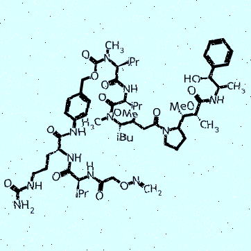 C=NOCC(=O)N[C@H](C(=O)N[C@@H](CCCNC(N)=O)C(=O)Nc1ccc(COC(=O)N(C)[C@H](C(=O)N[C@H](C(=O)N(C)C(C(CC(=O)N2CCCC2[C@H](OC)[C@@H](C)C(=O)NC(C)[C@@H](O)c2ccccc2)OC)[C@@H](C)CC)C(C)C)C(C)C)cc1)C(C)C